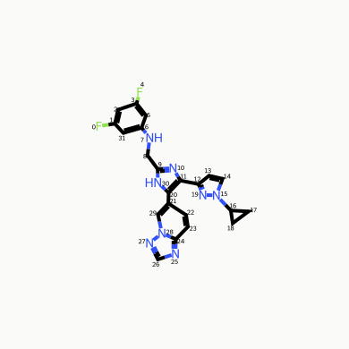 Fc1cc(F)cc(NCc2nc(-c3ccn(C4CC4)n3)c(-c3ccc4ncnn4c3)[nH]2)c1